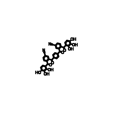 N#Cc1ccc(C(=O)c2ccc(O)c(O)c2O)c(C(=O)c2ccc(C(=O)c3cc(C#N)ccc3C(=O)c3ccc(O)c(O)c3O)cc2)c1